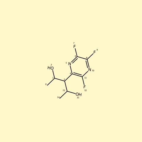 CC(O)C(c1nc(F)c(F)nc1F)C(C)O